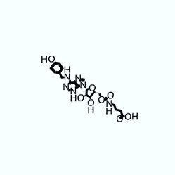 O=C(O)CCCNC(=O)OC[C@H]1O[C@@H](n2cnc3c(NCc4ccc(O)cc4)ncnc32)[C@H](O)[C@@H]1O